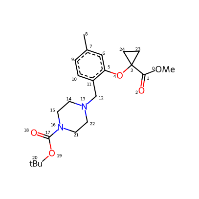 COC(=O)C1(Oc2cc(C)ccc2CN2CCN(C(=O)OC(C)(C)C)CC2)CC1